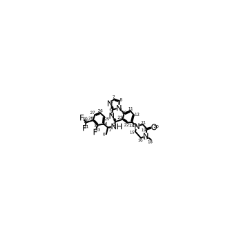 CC(Nc1nc2nccn2c2ccc(N3CCN(C)C(=O)C3)cc12)c1cccc(C(F)F)c1F